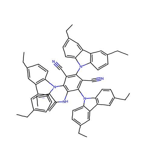 C=C(/C=C\C)Nc1c(-n2c3ccc(CC)cc3c3cc(CC)ccc32)c(C#N)c(-n2c3ccc(CC)cc3c3cc(CC)ccc32)c(C#N)c1-n1c2ccc(CC)cc2c2cc(CC)ccc21